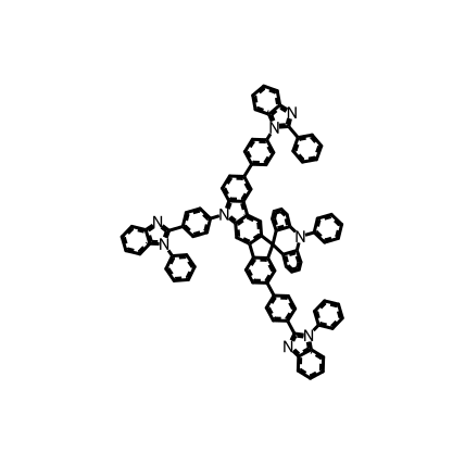 c1ccc(-c2nc3ccccc3n2-c2ccc(-c3ccc4c(c3)c3cc5c(cc3n4-c3ccc(-c4nc6ccccc6n4-c4ccccc4)cc3)-c3ccc(-c4ccc(-c6nc7ccccc7n6-c6ccccc6)cc4)cc3C53c4ccccc4N(c4ccccc4)c4ccccc43)cc2)cc1